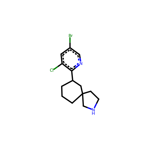 Clc1cc(Br)cnc1C1CCCC2(CCNC2)C1